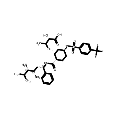 CC(C)CC(=O)O.CC(C)[C@H](N)[C@@H](N)C[C@H](NC(=O)[C@H]1CC[C@H](NS(=O)(=O)c2ccc(C(F)(F)F)cc2)CC1)c1ccccc1.Cl